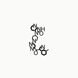 Cc1cccc2c(C(=O)c3cc(N4CCC(n5c(=O)[nH]c6ncccc65)CC4)ncn3)cn(C)c12